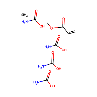 C=CC(=O)OC.NC(=O)O.NC(=O)O.NC(=O)O.NC(=O)O.[SiH4]